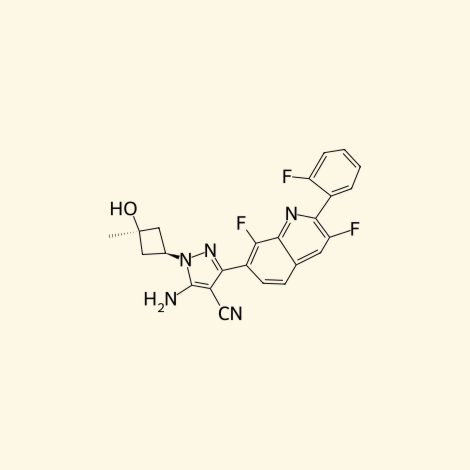 C[C@]1(O)C[C@@H](n2nc(-c3ccc4cc(F)c(-c5ccccc5F)nc4c3F)c(C#N)c2N)C1